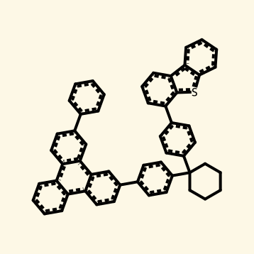 c1ccc(-c2ccc3c4ccccc4c4ccc(-c5ccc(C6(c7ccc(-c8cccc9c8sc8ccccc89)cc7)CCCCC6)cc5)cc4c3c2)cc1